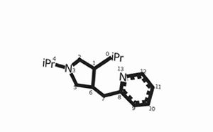 CC(C)C1CN(C(C)C)CC1Cc1ccccn1